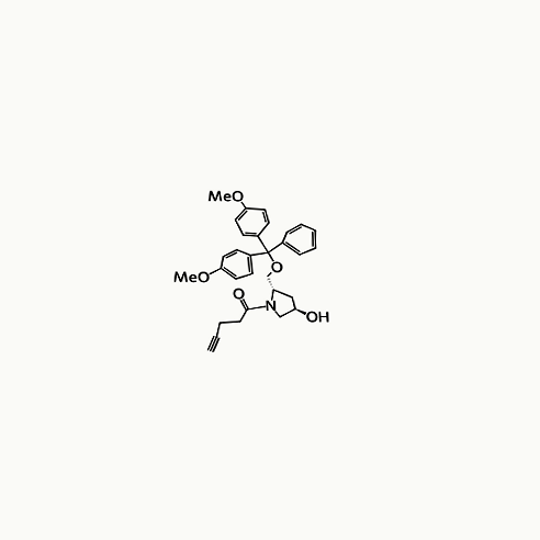 C#CCCC(=O)N1C[C@H](O)C[C@H]1COC(c1ccccc1)(c1ccc(OC)cc1)c1ccc(OC)cc1